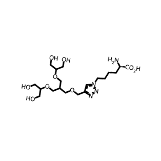 N[C@H](CCCCn1cc(COCC(COC(CO)CO)COC(CO)CO)nn1)C(=O)O